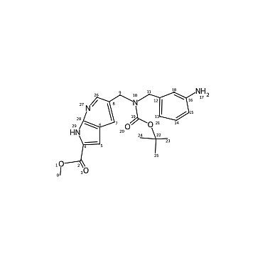 COC(=O)c1cc2cc(CN(Cc3cccc(N)c3)C(=O)OC(C)(C)C)cnc2[nH]1